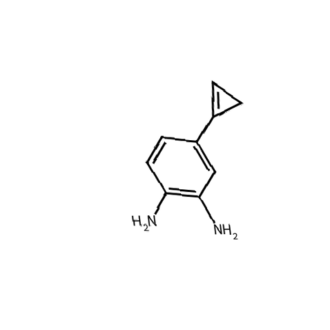 Nc1ccc(C2=CC2)cc1N